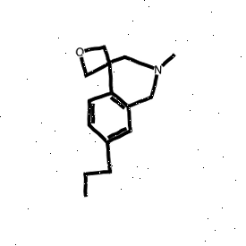 CCCc1ccc2c(c1)CN(C)CC21COC1